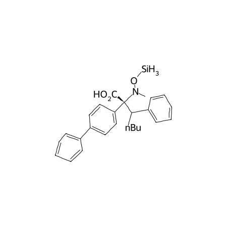 CCCCC(c1ccccc1)[C@](C(=O)O)(c1ccc(-c2ccccc2)cc1)N(C)O[SiH3]